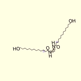 O=C(/C=C/CCCCCCCCCCO)N[C@H]1C[C@H]1NC(=O)/C=C/CCCCCCCCCCO